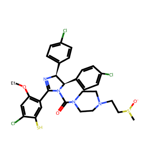 CCOc1cc(Cl)c(S)cc1C1=N[C@@H](c2ccc(Cl)cc2)[C@@H](c2ccc(Cl)cc2)N1C(=O)N1CCN(CC[S+](C)[O-])CC1